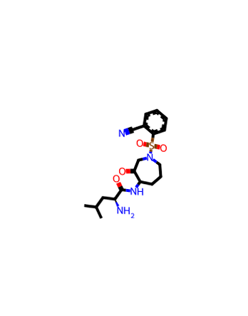 CC(C)C[C@H](N)C(=O)NC1CCCN(S(=O)(=O)c2ccccc2C#N)CC1=O